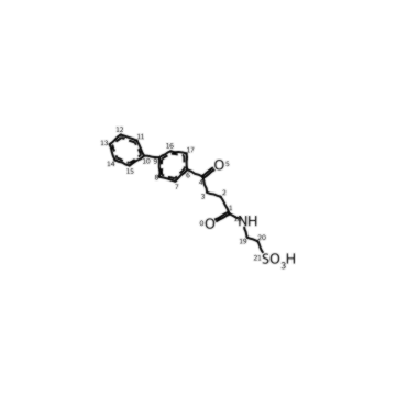 O=C(CCC(=O)c1ccc(-c2ccccc2)cc1)NCCS(=O)(=O)O